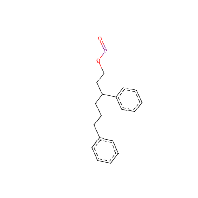 O=POCCC(CCCc1ccccc1)c1ccccc1